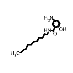 CCCCCCCCCCCCNC(=O)c1cc(N)ccc1O